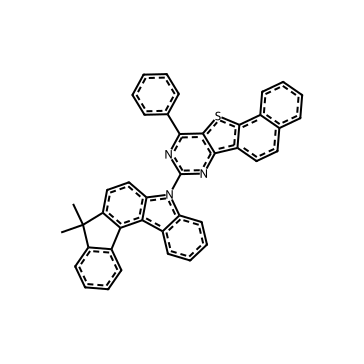 CC1(C)c2ccccc2-c2c1ccc1c2c2ccccc2n1-c1nc(-c2ccccc2)c2sc3c4ccccc4ccc3c2n1